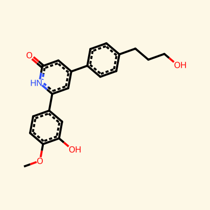 COc1ccc(-c2cc(-c3ccc(CCCO)cc3)cc(=O)[nH]2)cc1O